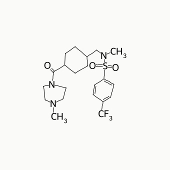 CN1CCN(C(=O)C2CCC(CN(C)S(=O)(=O)c3ccc(C(F)(F)F)cc3)CC2)CC1